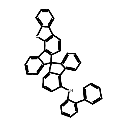 c1ccc(-c2ccccc2Nc2cccc3c2-c2ccccc2C32c3ccccc3-c3c2ccc2c3oc3ccccc32)cc1